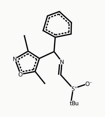 Cc1noc(C)c1C(N=C[S+]([O-])C(C)(C)C)c1ccccc1